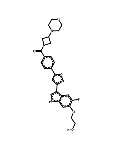 COCCOc1cc2[nH]nc(-c3cc(-c4ccc(C(=O)N5CC(N6CCOCC6)C5)cc4)on3)c2cc1F